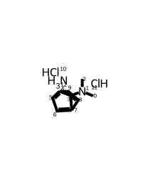 CN(C)C1C2=CC=C1C=C2.Cl.Cl.N